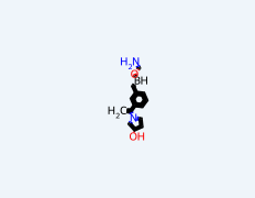 C=C(c1cccc(CBOCN)c1)N1CC[C@H](O)C1